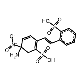 NC1([N+](=O)[O-])C=CC(C=Cc2ccccc2S(=O)(=O)O)=C(S(=O)(=O)O)C1